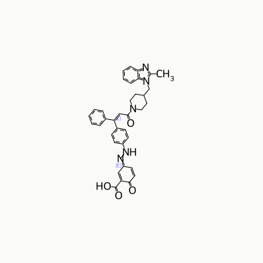 Cc1nc2ccccc2n1CC1CCN(C(=O)/C=C(/c2ccccc2)c2ccc(N/N=C3\C=CC(=O)C(C(=O)O)=C3)cc2)CC1